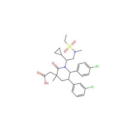 CCS(=O)(=O)N(C)CC(C1CC1)N1C(=O)C(C)(CC(=O)O)CC(c2cccc(Cl)c2)C1c1ccc(Cl)cc1